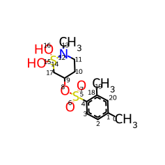 Cc1ccc(S(=O)(=O)OC2CCN(C)S(O)(O)C2)c(C)c1